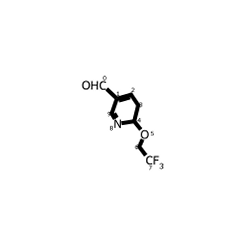 O=CC1=CCC(OCC(F)(F)F)N=C1